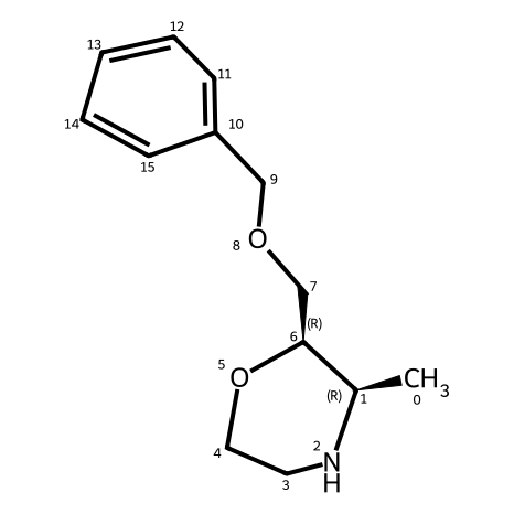 C[C@H]1NCCO[C@H]1COCc1ccccc1